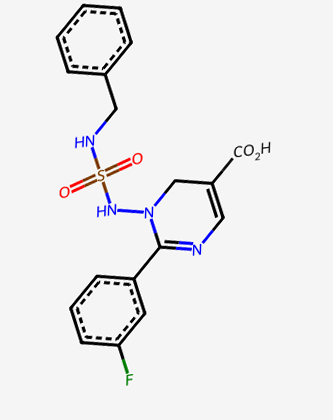 O=C(O)C1=CN=C(c2cccc(F)c2)N(NS(=O)(=O)NCc2ccccc2)C1